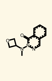 CN(C1COC1)n1ncc2ccccc2c1=O